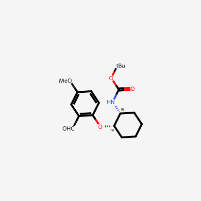 COc1ccc(O[C@H]2CCCC[C@H]2NC(=O)OC(C)(C)C)c(C=O)c1